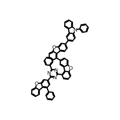 c1ccc(-c2nc(-c3cc(-c4ccccc4)c4c(c3)oc3ccccc34)nc(-c3cccc4oc5ccc(-c6cccc7oc8cc(-c9ccc%10c(c9)c9ccccc9n%10-c9ccccc9)ccc8c67)cc5c34)n2)cc1